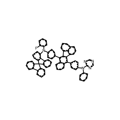 Fc1ccccc1N(c1ccc(-c2c3c(c(-c4ccc(N(c5ccccc5)c5ncncn5)cc4)c4ccccc24)-c2cccc4cccc-3c24)cc1)c1cccc2c1-c1ccccc1C21c2ccccc2-c2ccccc21